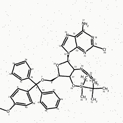 COc1ccc(C(OC[C@H]2O[C@@H](n3cnc4c(N)nc(Cl)nc43)C(N=[N+]=[N-])C2O[Si](C)(C)C(C)(C)C)(c2ccccc2)c2ccccc2)cc1